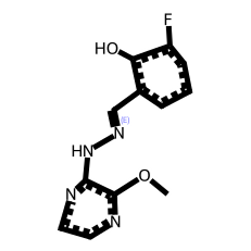 COc1nccnc1N/N=C/c1cccc(F)c1O